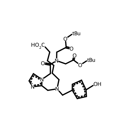 CC(C)(C)OC(=O)CN(CC(=O)OC(C)(C)C)C(=O)Cn1ccnc1CN(CCCCCC(=O)O)Cc1ccc(O)cc1